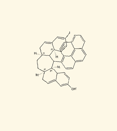 OC1=CC2=CC[C@H]3CC[C@H]4CC=C5C=C(I)C=C[C@H]5C4C(c4ccc5ccc6cccc7ccc4c5c67)[C@H]3C2C=C1